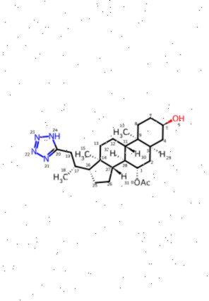 CC(=O)O[C@H]1C[C@@H]2C[C@H](O)CC[C@]2(C)[C@H]2CC[C@]3(C)[C@@H]([C@H](C)Cc4nnn[nH]4)CC[C@H]3[C@H]12